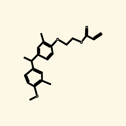 C=CC(=O)OCCOc1ccc(C(C)c2ccc(OC)c(C)c2)cc1C